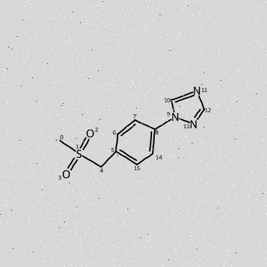 [CH2]S(=O)(=O)Cc1ccc(-n2cncn2)cc1